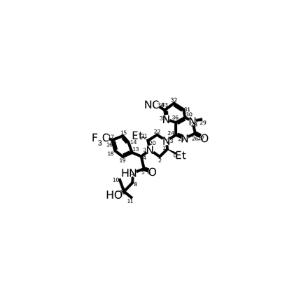 CC[C@H]1CN(C(C(=O)NCC(C)(C)O)c2ccc(C(F)(F)F)cc2)[C@H](CC)CN1c1nc(=O)n(C)c2ccc(C#N)nc12